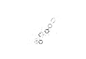 Cc1cc(Nc2ncc(C)c(Nc3ccccc3S(=O)(=O)C(C)C)n2)c(OC(C)C)cc1C1CCC(N2CCN(C)CC2)CC1